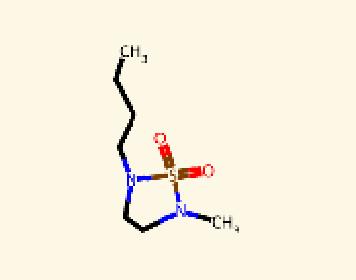 CCCCN1CCN(C)S1(=O)=O